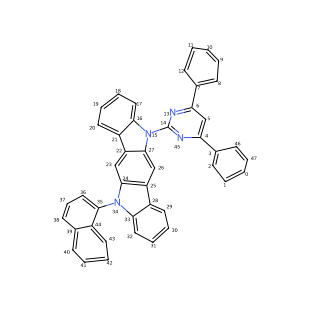 c1ccc(-c2cc(-c3ccccc3)nc(-n3c4ccccc4c4cc5c(cc43)c3ccccc3n5-c3cccc4ccccc34)n2)cc1